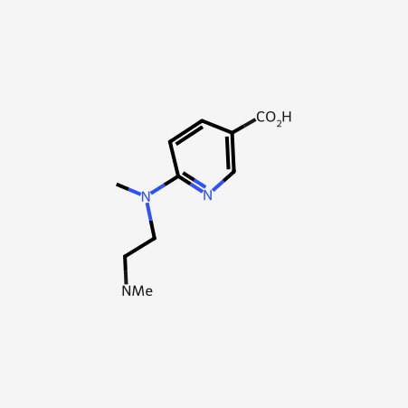 CNCCN(C)c1ccc(C(=O)O)cn1